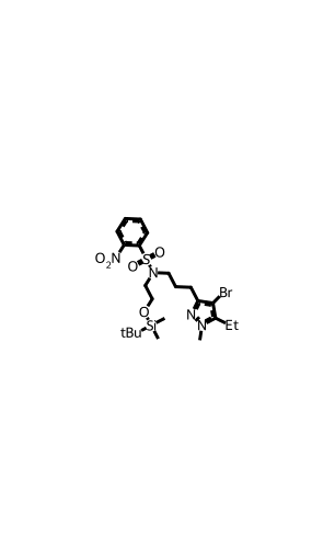 CCc1c(Br)c(CCCN(CCO[Si](C)(C)C(C)(C)C)S(=O)(=O)c2ccccc2[N+](=O)[O-])nn1C